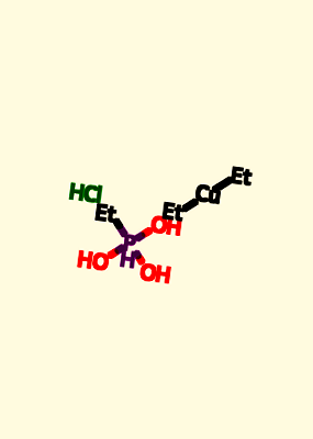 CC[PH](O)(O)O.C[CH2][Cu][CH2]C.Cl